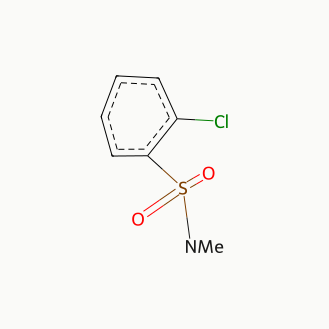 CNS(=O)(=O)c1ccccc1Cl